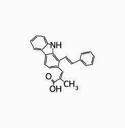 CC(=Cc1ccc2c([nH]c3ccccc32)c1C=Cc1ccccc1)C(=O)O